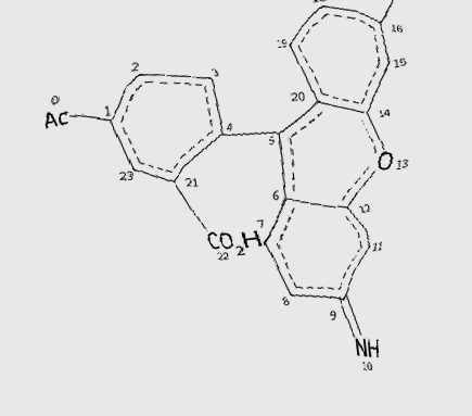 CC(=O)c1ccc(-c2c3ccc(=N)cc-3oc3cc(N)ccc23)c(C(=O)O)c1